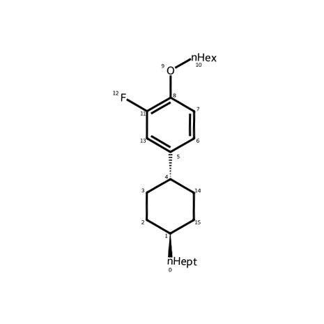 CCCCCCC[C@H]1CC[C@H](c2ccc(OCCCCCC)c(F)c2)CC1